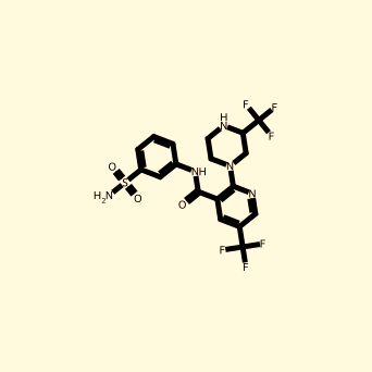 NS(=O)(=O)c1cccc(NC(=O)c2cc(C(F)(F)F)cnc2N2CCNC(C(F)(F)F)C2)c1